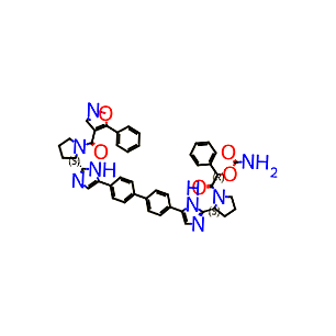 NC(=O)O[C@@H](C(=O)N1CCC[C@H]1c1ncc(-c2ccc(-c3ccc(-c4cnc([C@@H]5CCCN5C(=O)c5cnoc5-c5ccccc5)[nH]4)cc3)cc2)[nH]1)c1ccccc1